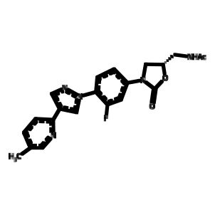 CC(=O)NC[C@H]1CN(c2ccc(-n3cc(-c4ccc(C)cn4)cn3)c(F)c2)C(=O)O1